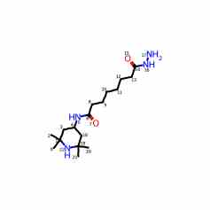 CC1(C)CC(NC(=O)CCCCCCC(=O)NN)CC(C)(C)N1